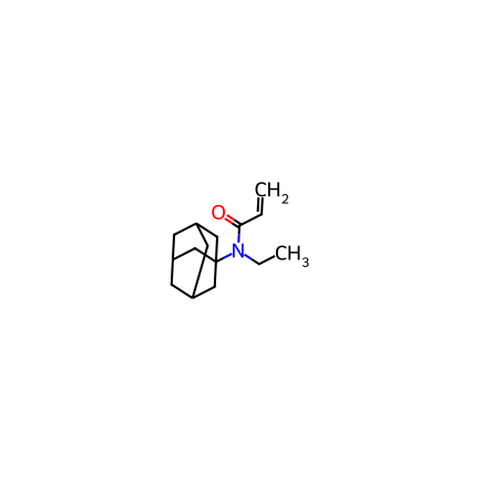 C=CC(=O)N(CC)C12CC3CC(CC(C3)C1)C2